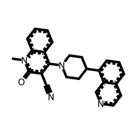 Cn1c(=O)c(C#N)c(N2CCC(c3cccc4ccncc34)CC2)c2ccccc21